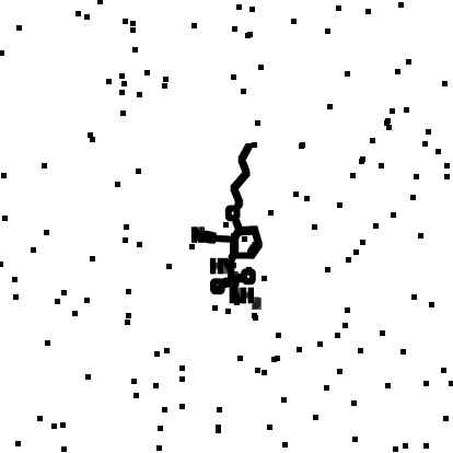 CCCCCOc1cccc(NS(N)(=O)=O)c1C#N